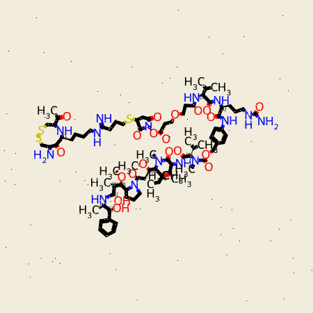 CC[C@H](C)C([C@@H](CC(=O)N1CCCC1[C@H](OC)[C@@H](C)[C@@H](O)N[C@H](C)[C@@H](O)c1ccccc1)OC)N(C)C(=O)C(NC(=O)[C@H](C(C)C)N(C)C(=O)OCc1ccc(NC(=O)[C@H](CCCNC(N)=O)NC(=O)[C@@H](NC(=O)CCOCCC(=O)ON2C(=O)CC(SCCCC(=N)NCCCC[C@@H]3NC(C(C)=O)CSSCC(N)C3=O)C2=O)C(C)C)cc1)C(C)C